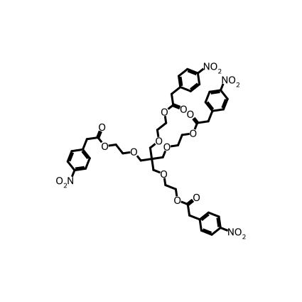 O=C(Cc1ccc([N+](=O)[O-])cc1)OCCOCC(COCCOC(=O)Cc1ccc([N+](=O)[O-])cc1)(COCCOC(=O)Cc1ccc([N+](=O)[O-])cc1)COCCOC(=O)Cc1ccc([N+](=O)[O-])cc1